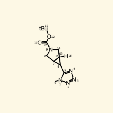 Cn1nnnc1C1C2CN(C(=O)OC(C)(C)C)C[C@@H]21